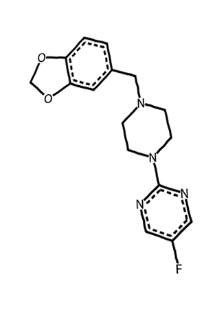 Fc1cnc(N2CCN(Cc3ccc4c(c3)OCO4)CC2)nc1